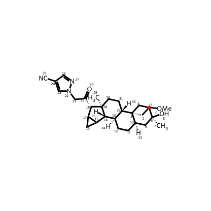 COCC[C@]12CC[C@@](C)(O)C[C@H]1CC[C@H]1[C@@H]3C4CC4[C@H](C(=O)Cn4cc(C#N)cn4)[C@@]3(C)CC[C@@H]12